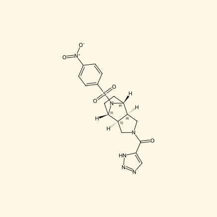 O=C(c1cnn[nH]1)N1C[C@@H]2[C@H](C1)[C@H]1CC[C@@H]2N1S(=O)(=O)c1ccc([N+](=O)[O-])cc1